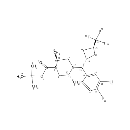 C[C@@H]1CN(C(=O)OC(C)(C)C)[C@@H](C)CN1C(c1ccc(F)c(Cl)c1)[C@H]1C[C@H](C(F)(F)F)C1